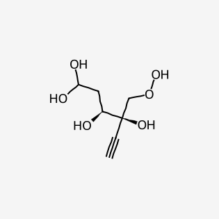 C#C[C@@](O)(COO)[C@@H](O)CC(O)O